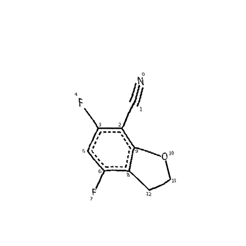 N#Cc1c(F)cc(F)c2c1OCC2